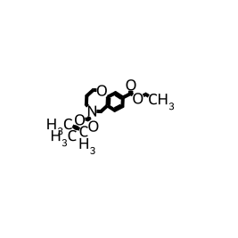 CCOC(=O)c1ccc2c(c1)OCCCN(C(=O)OC(C)(C)C)C2